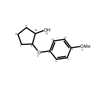 COc1ccc(OC2CCCC2O)cc1